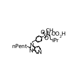 CCCCCc1nc2cnccc2n1Cc1ccc(S(=O)(=O)N(C)[C@@H](CC(C)C)C(=O)O)cc1